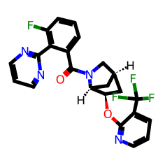 O=C(c1cccc(F)c1-c1ncccn1)N1C[C@H]2C[C@@H](Oc3ncccc3C(F)(F)F)[C@@H]1C2